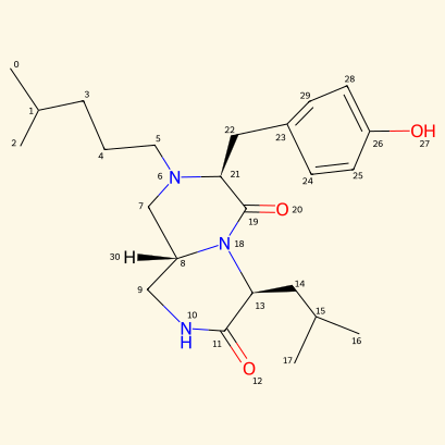 CC(C)CCCN1C[C@H]2CNC(=O)[C@H](CC(C)C)N2C(=O)[C@@H]1Cc1ccc(O)cc1